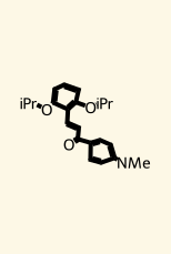 CNc1ccc(C(=O)/C=C/c2c(OC(C)C)cccc2OC(C)C)cc1